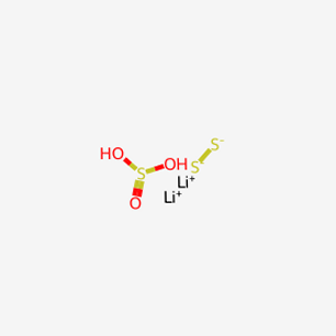 O=S(O)O.[Li+].[Li+].[S-][S-]